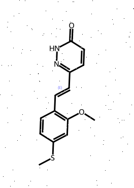 COc1cc(SC)ccc1/C=C/c1ccc(=O)[nH]n1